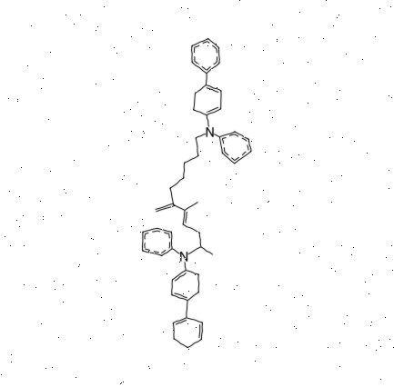 C=C(CCCCCN(C1=CC=C(c2ccccc2)CC1)c1ccccc1)/C(C)=C/CC(C)N(C1=CC=C(C2=CCCC=C2)CC1)c1ccccc1